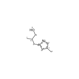 Cc1cnn(CC(C)CO)c1